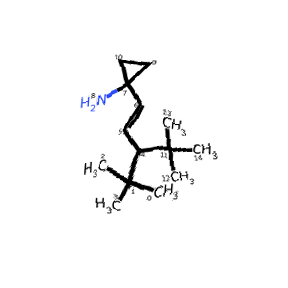 CC(C)(C)C(/C=C/C1(N)CC1)C(C)(C)C